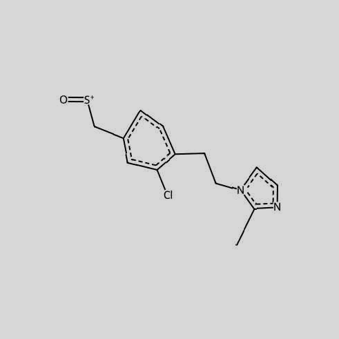 Cc1nccn1CCc1ccc(C[S+]=O)cc1Cl